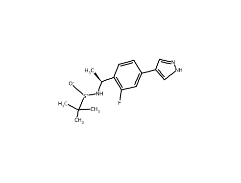 C[C@H](N[S+]([O-])C(C)(C)C)c1ccc(-c2cn[nH]c2)cc1F